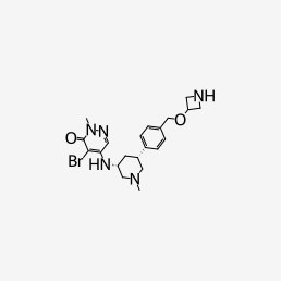 CN1C[C@H](Nc2cnn(C)c(=O)c2Br)C[C@H](c2ccc(COC3CNC3)cc2)C1